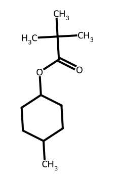 CC1CCC(OC(=O)C(C)(C)C)CC1